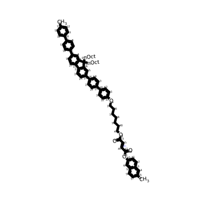 CCCCCCCCC1(CCCCCCCC)c2cc(-c3ccc(-c4ccc(C)cc4)cc3)ccc2-c2ccc(-c3ccc(-c4ccc(OCCCCCCCOC(=O)/C=C/C(=O)Oc5ccc6cc(C)ccc6c5)cc4)cc3)cc21